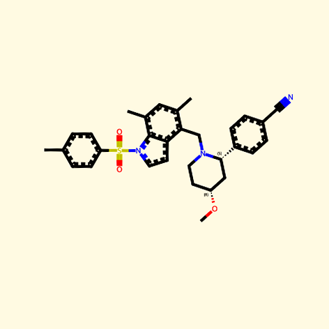 CO[C@@H]1CCN(Cc2c(C)cc(C)c3c2ccn3S(=O)(=O)c2ccc(C)cc2)[C@H](c2ccc(C#N)cc2)C1